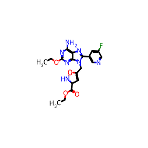 CCOC(=O)C1C=C(Cn2c(-c3cncc(F)c3)nc3c(N)nc(OCC)nc32)ON1